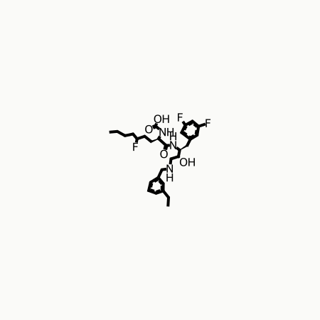 CCCCC(F)CC[C@@H](NC(=O)O)C(=O)N[C@@H](Cc1cc(F)cc(F)c1)[C@@H](O)CNCc1cccc(CC)c1